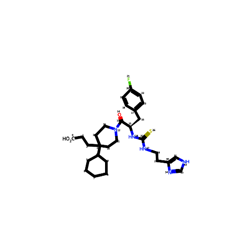 O=C(O)CCC1(C2CCCCC2)CCN(C(=O)[C@@H](Cc2ccc(F)cc2)NC(=S)NCCc2c[nH]cn2)CC1